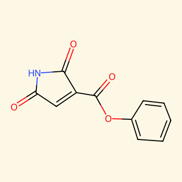 O=C1C=C(C(=O)Oc2ccccc2)C(=O)N1